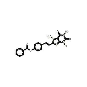 CCn1c(=O)c2c(nc(/C=C/c3ccc(OC(=O)c4ccccc4)cc3)n2C)n(CC)c1=O